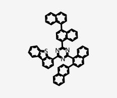 c1ccc2cc(-c3ccc4ccccc4c3-c3nc(-c4ccc(-c5cccc6ccccc56)c5ccccc45)nc(-c4cccc5c4sc4ccccc45)n3)ccc2c1